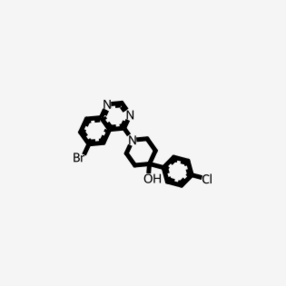 OC1(c2ccc(Cl)cc2)CCN(c2ncnc3ccc(Br)cc23)CC1